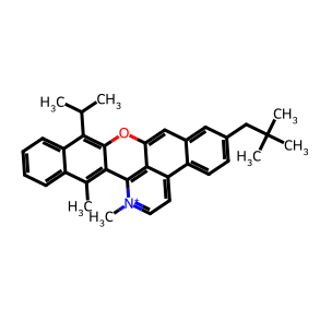 Cc1c2c(c(C(C)C)c3ccccc13)Oc1cc3cc(CC(C)(C)C)ccc3c3cc[n+](C)c-2c13